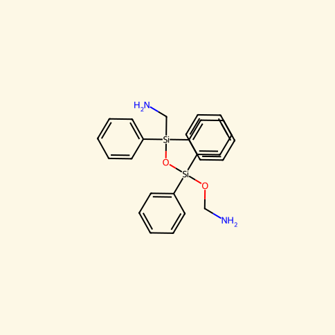 NCO[Si](O[Si](CN)(c1ccccc1)c1ccccc1)(c1ccccc1)c1ccccc1